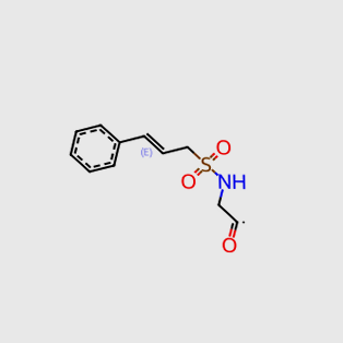 O=[C]CNS(=O)(=O)C/C=C/c1ccccc1